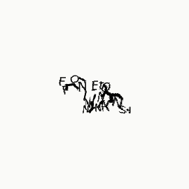 CCOc1nc(Nc2cnn(CCN3CCOC(C(F)F)C3)c2C)nc2c1ccn2SI